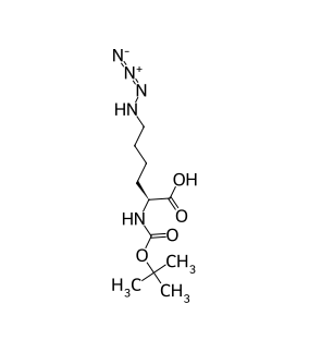 CC(C)(C)OC(=O)N[C@@H](CCCCNN=[N+]=[N-])C(=O)O